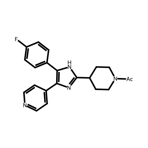 CC(=O)N1CCC(c2nc(-c3ccncc3)c(-c3ccc(F)cc3)[nH]2)CC1